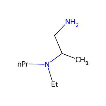 CCCN(CC)C(C)CN